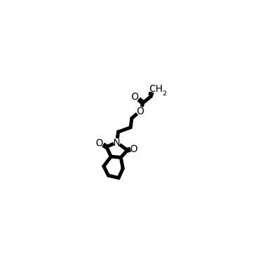 C=CC(=O)OCCCN1C(=O)C2CCCCC2C1=O